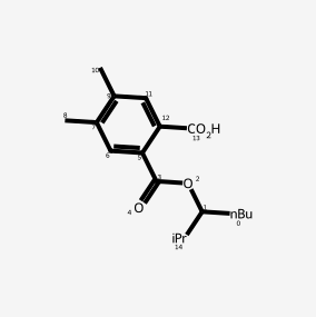 CCCCC(OC(=O)c1cc(C)c(C)cc1C(=O)O)C(C)C